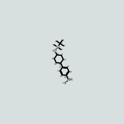 CC(C)(C)[Si](C)(C)OC1CCC(c2ccc(NF)cc2)CC1